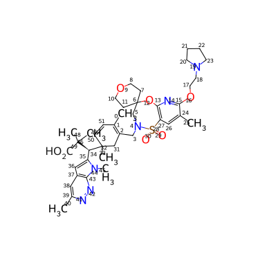 CC1=C(CN2CC3(CCOCC3)Oc3nc(OCCN4CCCC4)c(C)cc3S2(=O)=O)CC(C)([C@@H](c2cc3cc(C)nnc3n2C)C(C)(C)C(=O)O)C=C1